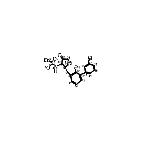 CCS(=O)(=O)N[C@@H]1[C@H](Cc2cccc(-c3cccc(Cl)c3)c2F)NC[C@@H]1F